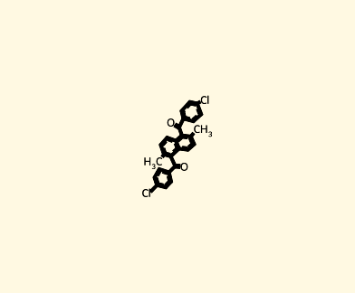 Cc1ccc2c(C(=O)c3ccc(Cl)cc3)c(C)ccc2c1C(=O)c1ccc(Cl)cc1